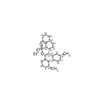 CCOP1(=O)OC(c2cccc(C)c2)=C(c2cccc(C)c2)c2ccc3ccccc3c21